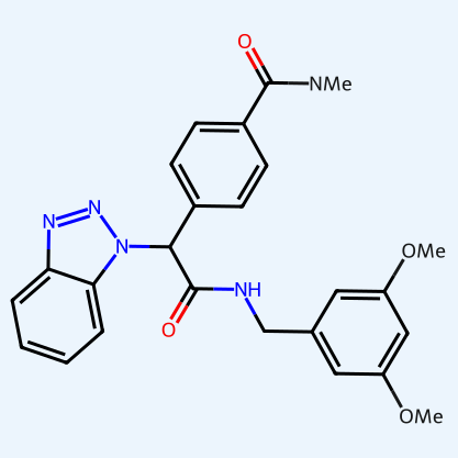 CNC(=O)c1ccc(C(C(=O)NCc2cc(OC)cc(OC)c2)n2nnc3ccccc32)cc1